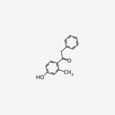 Cc1cc(O)ccc1C(=O)Cc1ccccc1